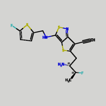 C#Cc1c(C[C@@H](N)[C@H](C)F)sc2c(NCc3ccc(F)s3)snc12